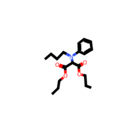 CCCCN(c1ccccc1)C(C(=O)OCCC)C(=O)OCCC